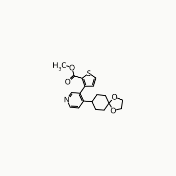 COC(=O)c1sccc1-c1cnccc1C1CCC2(CC1)OCCO2